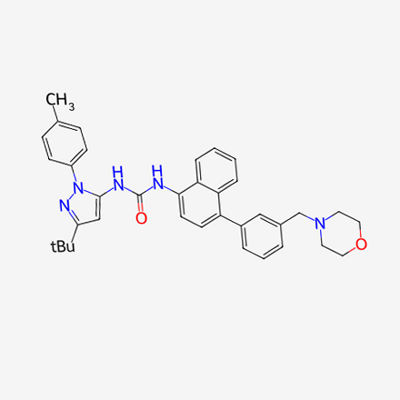 Cc1ccc(-n2nc(C(C)(C)C)cc2NC(=O)Nc2ccc(-c3cccc(CN4CCOCC4)c3)c3ccccc23)cc1